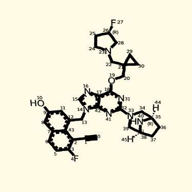 C#Cc1c(F)ccc2cc(O)cc(Cn3cnc4c(OCC5(CN6CC[C@@H](F)C6)CC5)nc(N5C[C@H]6CC[C@@H](C5)N6)nc43)c12